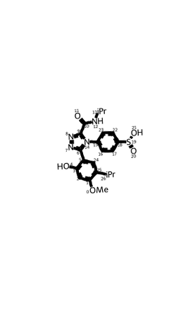 COc1cc(O)c(-c2nnc(C(=O)NC(C)C)n2-c2ccc(S(=O)O)cc2)cc1C(C)C